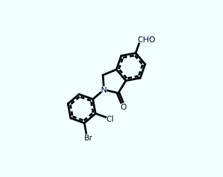 O=Cc1ccc2c(c1)CN(c1cccc(Br)c1Cl)C2=O